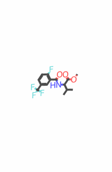 COC(=O)C(NC(=O)c1cc(C(F)(F)F)ccc1F)C(C)C